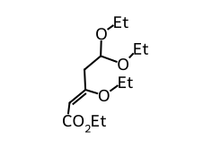 CCOC(=O)C=C(CC(OCC)OCC)OCC